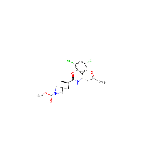 COC(=O)C[C@H](NC(=O)C1CC2(C1)CN(C(=O)OC(C)(C)C)C2)c1cc(Cl)cc(Cl)c1